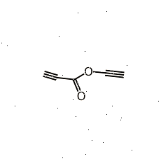 C#COC(=O)C#C